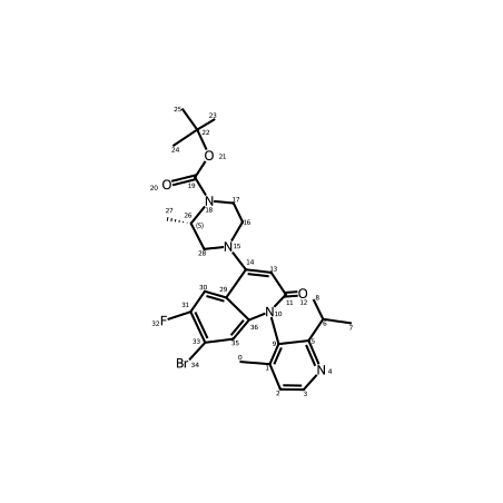 Cc1ccnc(C(C)C)c1-n1c(=O)cc(N2CCN(C(=O)OC(C)(C)C)[C@@H](C)C2)c2cc(F)c(Br)cc21